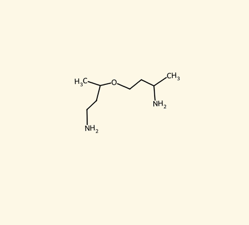 CC(N)CCOC(C)CCN